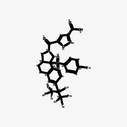 O=C(O)c1cc(C(=O)N2CC3CCc4cc(C(F)(C(F)(F)F)C(F)(F)F)ccc4C3(S(=O)(=O)c3ccc(F)cc3)C2)on1